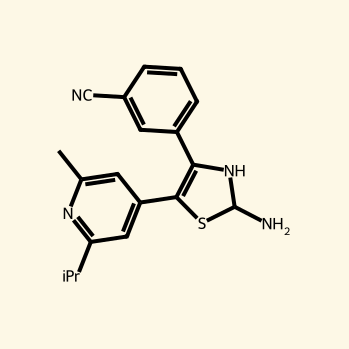 Cc1cc(C2=C(c3cccc(C#N)c3)NC(N)S2)cc(C(C)C)n1